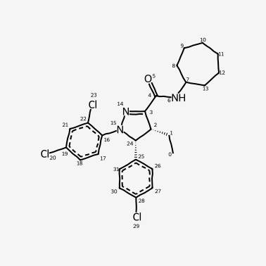 CC[C@H]1C(C(=O)NC2CCCCCC2)=NN(c2ccc(Cl)cc2Cl)[C@H]1c1ccc(Cl)cc1